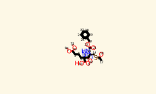 COC(CCCC(N)(C(=O)O)C(=O)[C@H](CSC(C)=O)NC(=O)OCc1ccccc1)OC